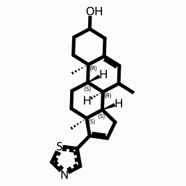 CC1C=C2CC(O)CC[C@]2(C)[C@H]2CC[C@]3(C)C(c4cncs4)=CC[C@H]3[C@H]12